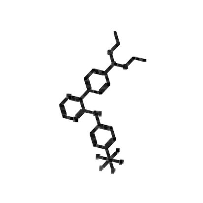 CCOP(OCC)c1ccc(-c2nccnc2Nc2ccc(S(F)(F)(F)(F)F)cc2)cc1